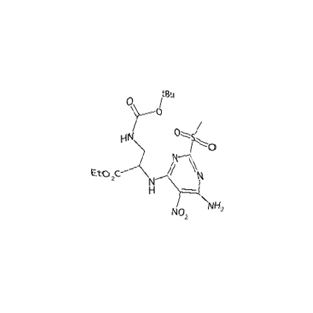 CCOC(=O)C(CNC(=O)OC(C)(C)C)Nc1nc(S(C)(=O)=O)nc(N)c1[N+](=O)[O-]